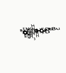 CCc1nc(Nc2cc(C3CCN(C(=O)OC(C)(C)C)CC3)[nH]n2)nc(NC(C)c2ccc(F)cc2F)n1